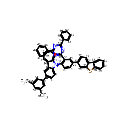 FC(F)(F)c1cc(-c2ccc3c(c2)c2ccccc2n3-c2ccc(-c3ccc4c(c3)sc3ccccc34)cc2-c2nc(-c3ccccc3)nc(-c3ccccc3)n2)cc(C(F)(F)F)c1